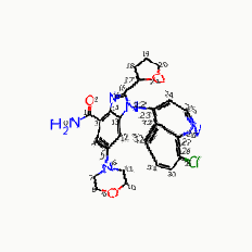 NC(=O)c1cc(N2CCOCC2)cc2c1nc(C1CCCO1)n2-c1ccnc2c(Cl)cccc12